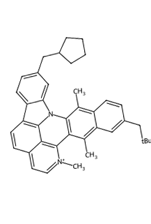 Cc1c2cc(CC(C)(C)C)ccc2c(C)c2c1c1c3c(ccc4c5ccc(CC6CCCC6)cc5n2c43)cc[n+]1C